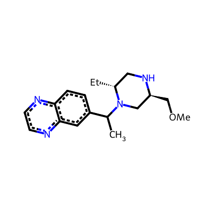 CC[C@@H]1CN[C@@H](COC)CN1C(C)c1ccc2nccnc2c1